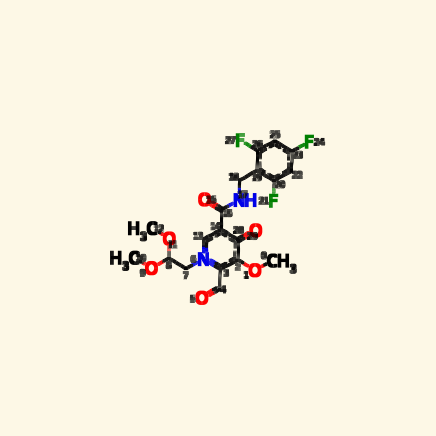 COc1c(C=O)n(CC(OC)OC)cc(C(=O)NCc2c(F)cc(F)cc2F)c1=O